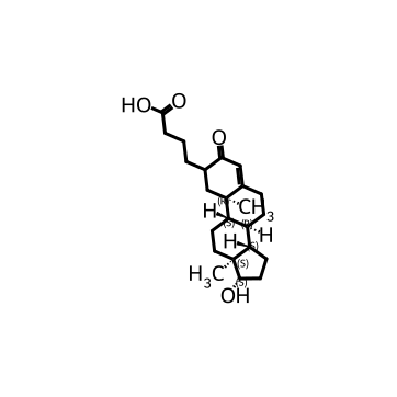 C[C@]12CC[C@H]3[C@@H](CCC4=CC(=O)C(CCCC(=O)O)C[C@@]43C)[C@@H]1CC[C@@H]2O